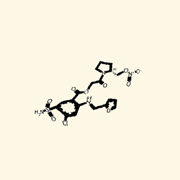 NS(=O)(=O)c1cc(C(=O)OCC(=O)N2CCC[C@@H]2CO[N+](=O)[O-])c(NCc2ccco2)cc1Cl